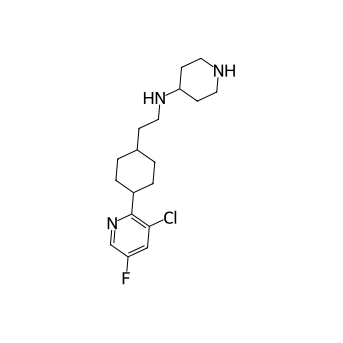 Fc1cnc(C2CCC(CCNC3CCNCC3)CC2)c(Cl)c1